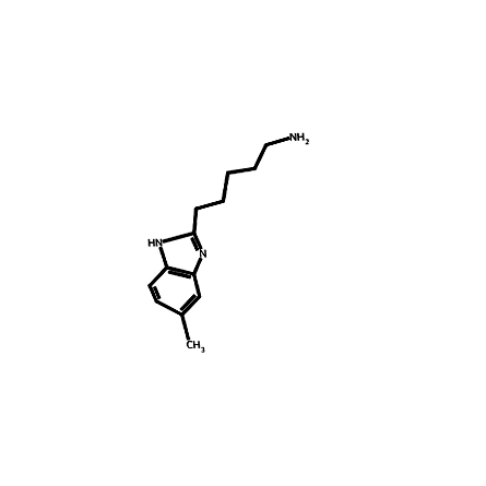 Cc1ccc2[nH]c(CCCCCN)nc2c1